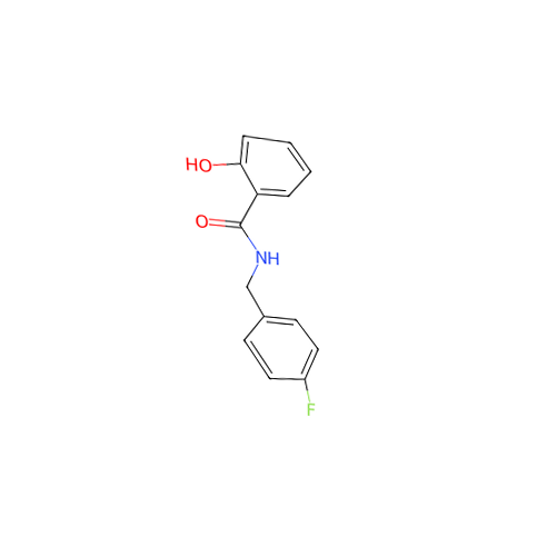 O=C(NCc1ccc(F)cc1)c1ccccc1O